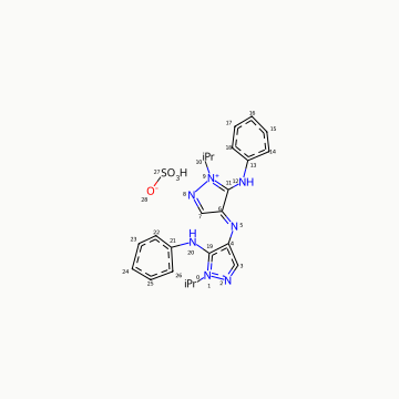 CC(C)n1ncc(N=C2C=N[N+](C(C)C)=C2Nc2ccccc2)c1Nc1ccccc1.O=S(=O)([O-])O